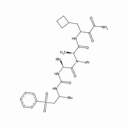 CCCN(C(=O)[C@@H](NC(=O)NC(CS(=O)(=O)c1ccccc1)C(C)(C)C)C(C)(C)C)[C@@H](C)C(=O)NC(CC1CCC1)C(=O)C(N)=O